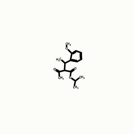 COc1ccccc1C(C)C(C(C)=O)C(=O)OC(C)C